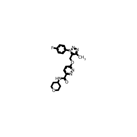 Cc1nnn(-c2ccc(F)cc2)c1COc1ccc(C(=O)NC2CCOCC2)nn1